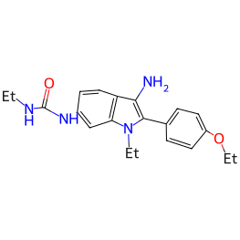 CCNC(=O)Nc1ccc2c(N)c(-c3ccc(OCC)cc3)n(CC)c2c1